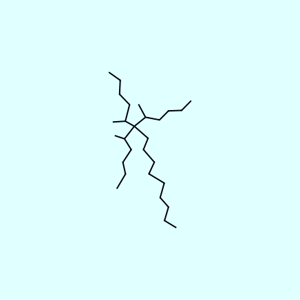 CCCCCCCCCC(C(C)CCCC)(C(C)CCCC)C(C)CCCC